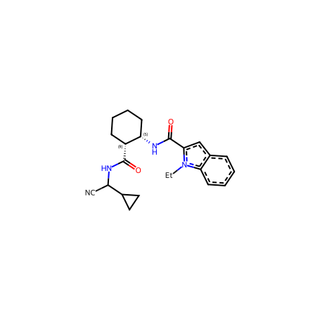 CCn1c(C(=O)N[C@H]2CCCC[C@H]2C(=O)NC(C#N)C2CC2)cc2ccccc21